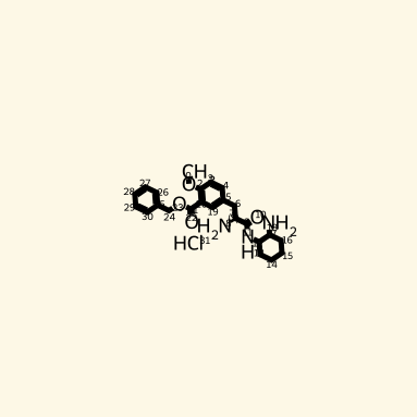 COc1ccc(C[C@H](N)C(=O)NC2CCCCC2N)cc1C(=O)OCc1ccccc1.Cl